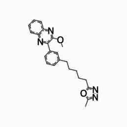 COc1nc2ccccc2nc1-c1cccc(CCCCCc2nnc(C)o2)c1